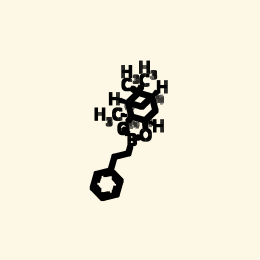 CC1(C)[C@@H]2C[C@H]3OB(CCc4ccccc4)O[C@@]3(C)[C@H]1C2